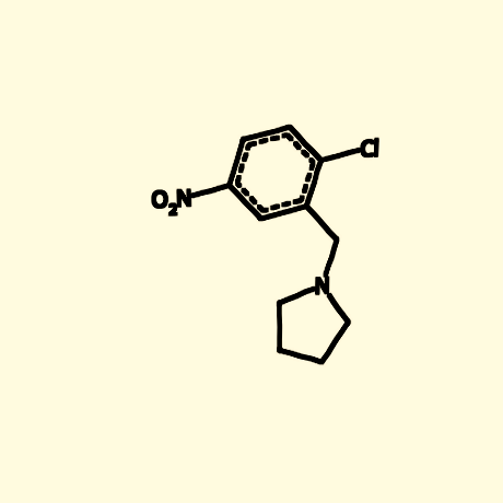 O=[N+]([O-])c1ccc(Cl)c(CN2CCCC2)c1